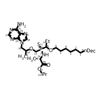 CCCCCCCCCCCCCCCCOC(CC)P(=S)(COC(C)Cn1cnc2c(N)ncnc21)N[C@@H](C)C(=O)OC(C)C